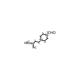 CCCCN(CCN1CCN(C=O)CC1)C(C)=O